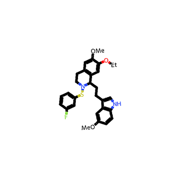 CCOc1cc2c(cc1OC)CCN(Sc1cccc(F)c1)C2CCc1c[nH]c2ccc(OC)cc12